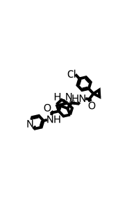 N[C@H](CNC(=O)C1(c2ccc(Cl)cc2)CC1)C1C2CC3CC1C(C(=O)Nc1ccncc1)(C3)C2